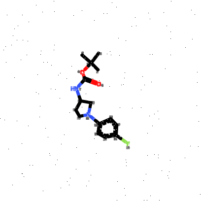 CC(C)(C)OC(=O)NC1CCN(c2ccc(F)cc2)C1